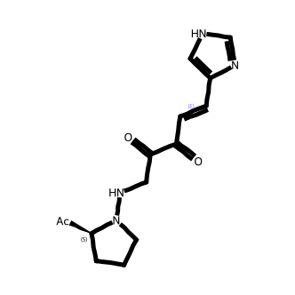 CC(=O)[C@@H]1CCCN1NCC(=O)C(=O)/C=C/c1c[nH]cn1